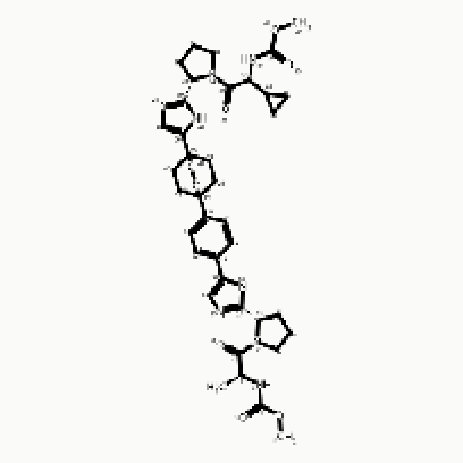 COC(=O)N[C@@H](C)C(=O)N1CCC[C@H]1c1ncc(-c2ccc(C34CCC(c5cnc([C@@H]6CCCN6C(=O)[C@@H](NC(=O)OC)C6CC6)[nH]5)(CC3)CC4)cc2)[nH]1